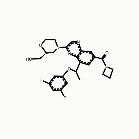 CC(Oc1cc(F)cc(F)c1)c1cc(C(=O)N2CCC2)cc2ncc(N3CCO[C@H](CO)C3)nc12